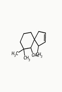 CC(=O)OC1C(C)(C)CCCC12CC=CC2C